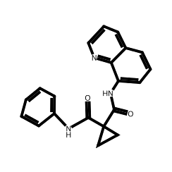 O=C(Nc1ccccc1)C1(C(=O)Nc2cccc3cccnc23)CC1